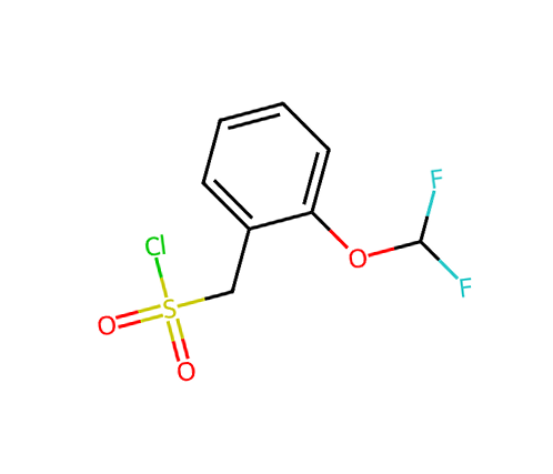 O=S(=O)(Cl)Cc1ccccc1OC(F)F